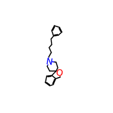 c1ccc(CCCCCN2CCC3(CC2)OCc2ccccc23)cc1